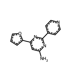 Nc1cc(-c2ccco2)nc(-c2ccncc2)n1